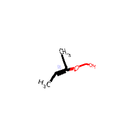 C/C=C(/C)OO